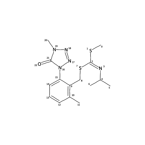 CS/C(=N/C(C)C)SCc1c(C)cccc1-n1nnn(C)c1=O